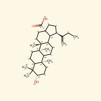 C=C(CC)[C@@H]1CC[C@]2(C(=O)O)CC[C@]3(C)C(CCC4[C@@]5(C)CC[C@H](O)C(C)(C)C5CC[C@]43C)C12